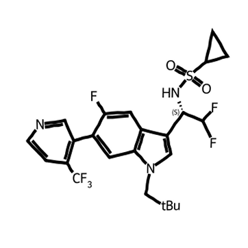 CC(C)(C)Cn1cc([C@H](NS(=O)(=O)C2CC2)C(F)F)c2cc(F)c(-c3cnccc3C(F)(F)F)cc21